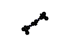 CN1c2ccccc2[Si]2(Cc3ccccc3C2)c2ccc(/C=C/c3ccc4c(c3)C(C)(C)c3cc(/C=C/c5ccc6c(c5)N(C)c5ccccc5[Si]65Cc6ccccc6C5)ccc3-4)cc21